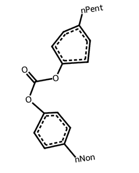 CCCCCCCCCc1ccc(OC(=O)Oc2ccc(CCCCC)cc2)cc1